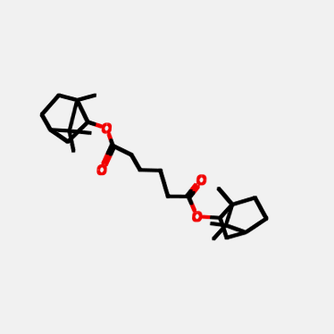 CC1(C)C2CCC1(C)C(OC(=O)CCCCC(=O)OC1CC3CCC1(C)C3(C)C)C2